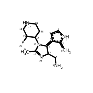 C=c1[nH]cc/c1=C1/C(CN)N=C(C)N1C1CCNCC1F